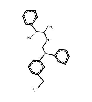 CCc1cccc([P@@](CN[C@@H](C)[C@H](O)c2ccccc2)c2ccccc2)c1